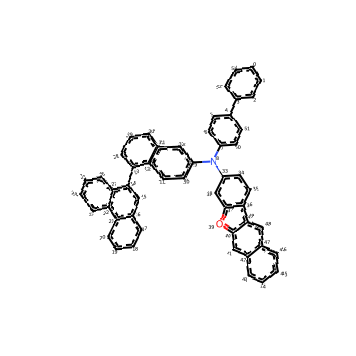 c1ccc(-c2ccc(N(c3ccc4c(-c5cc6ccccc6c6ccccc56)cccc4c3)c3ccc4c(c3)oc3cc5ccccc5cc34)cc2)cc1